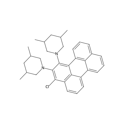 CC1CC(C)CN(c2c(Cl)c3cccc4c5cccc6cccc(c(c2N2CC(C)CC(C)C2)c34)c65)C1